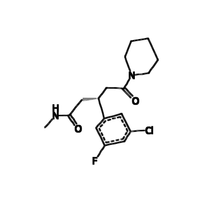 CNC(=O)C[C@H](CC(=O)N1CCCCC1)c1cc(F)cc(Cl)c1